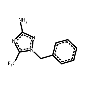 Nc1nc(C(F)(F)F)n(Cc2ccccc2)n1